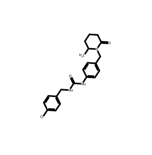 CC1CCCC(=O)N1Cc1ccc(NC(=O)NCc2ccc(Cl)cc2)cc1